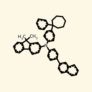 CC1(C)c2ccccc2-c2ccc(N(c3ccc(-c4ccc5ccccc5c4)cc3)c3ccc(C4(c5ccccc5)CCCCCC4)cc3)cc21